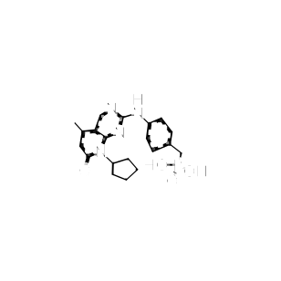 Cc1cc(=O)n(C2CCCC2)c2nc(Nc3ccc(CP(=O)(O)O)cc3)ncc12